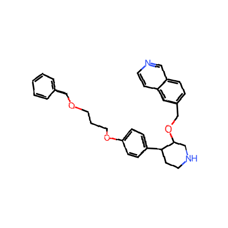 c1ccc(COCCCOc2ccc(C3CCNCC3OCc3ccc4cnccc4c3)cc2)cc1